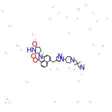 C/N=C/C(C)(C)CN1CCC(n2cc(Cc3ccc4c5c(cccc35)C(=O)N4C3CCC(=O)NC3=O)cn2)CC1